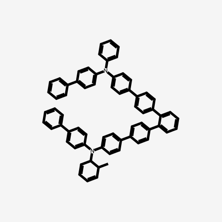 CC1C=CC=CC1N(c1ccc(-c2ccccc2)cc1)c1ccc(-c2ccc(-c3ccccc3-c3ccc(-c4ccc(N(c5ccccc5)c5ccc(-c6ccccc6)cc5)cc4)cc3)cc2)cc1